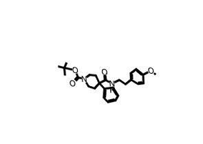 COc1ccc(CCNC(=O)C2(c3ccccc3)CCN(C(=O)OC(C)(C)C)CC2)cc1